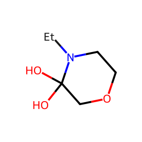 CCN1CCOCC1(O)O